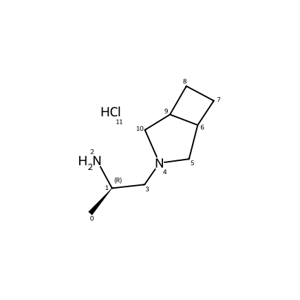 C[C@@H](N)CN1CC2CCC2C1.Cl